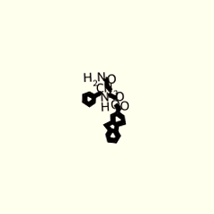 C[C@H](N[C@@H](CCC(N)=O)C(=O)OC(=O)c1ccc2c(c1)Cc1ccccc1-2)c1ccccc1